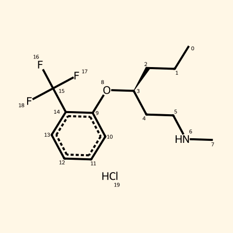 CCC[C@@H](CCNC)Oc1ccccc1C(F)(F)F.Cl